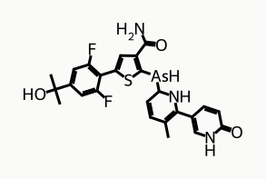 CC1=C(c2ccc(=O)[nH]c2)NC([AsH]c2sc(-c3c(F)cc(C(C)(C)O)cc3F)cc2C(N)=O)C=C1